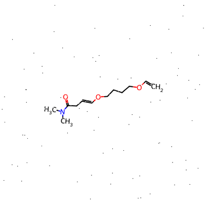 C=COCCCCO/C=C/CC(=O)N(C)C